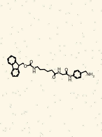 NCc1ccc(NC(=O)CNC(=O)CCCCCNC(=O)OCC2c3ccccc3-c3ccccc32)cc1